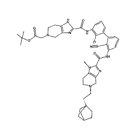 Cn1c(C(=O)Nc2cccc(-c3cccc(NC(=O)c4nc5c([nH]4)CCN(CC(=O)OC(C)(C)C)C5)c3Cl)c2C#N)nc2c1CCN(CCC13CCC(CC1)C3)C2